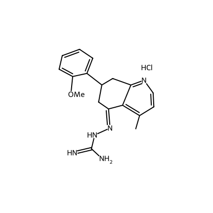 COc1ccccc1C1CC(=NNC(=N)N)c2c(C)ccnc2C1.Cl